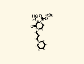 CC(C)(C)OC(=O)N1CCN(CCCN2CCCCC2)C(=O)[C@@H]1CO